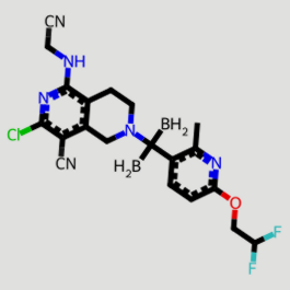 BC(B)(c1ccc(OCC(F)F)nc1C)N1CCc2c(NCC#N)nc(Cl)c(C#N)c2C1